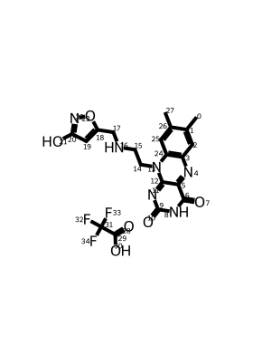 Cc1cc2nc3c(=O)[nH]c(=O)nc-3n(CCNCc3cc(O)no3)c2cc1C.O=C(O)C(F)(F)F